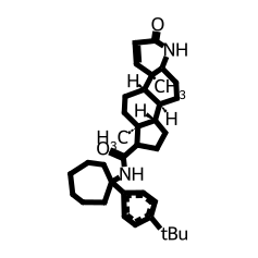 CC(C)(C)c1ccc(C2(NC(=O)C3CC[C@H]4[C@@H]5CCC6NC(=O)C=C[C@]6(C)[C@@H]5CC[C@]34C)CCCCCC2)cc1